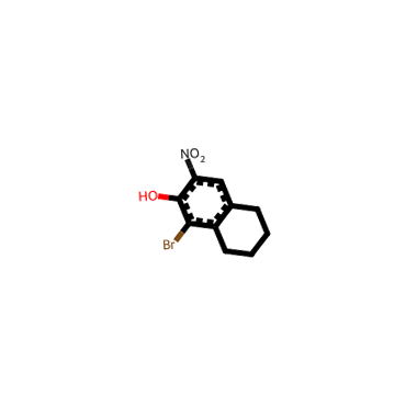 O=[N+]([O-])c1cc2c(c(Br)c1O)CCCC2